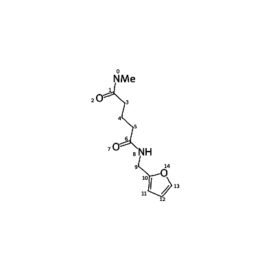 CNC(=O)CCCC(=O)NCc1ccco1